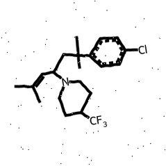 CC(C)=CC(CC(C)(C)c1ccc(Cl)cc1)N1CCC(C(F)(F)F)CC1